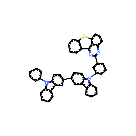 c1ccc(-n2c3ccccc3c3cc(-c4ccc5c(c4)c4ccccc4n5-c4cccc(-c5nc6c7c(cccc7n5)Sc5ccccc5-6)c4)ccc32)cc1